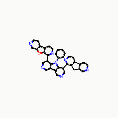 c1ccc(-n2c3c(-c4nccc5c4Cc4cnccc4-5)cncc3c3cncc(-c4nccc5c4oc4cnccc45)c32)cc1